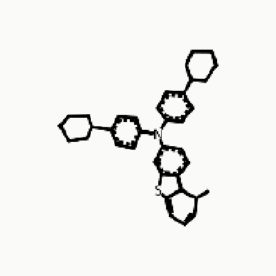 CC1C=CC=C2Sc3cc(N(c4ccc(C5CCCCC5)cc4)c4ccc(C5CCCCC5)cc4)ccc3C21